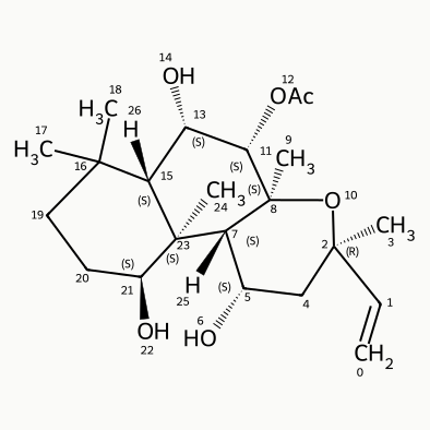 C=C[C@@]1(C)C[C@H](O)[C@H]2[C@](C)(O1)[C@@H](OC(C)=O)[C@@H](O)[C@H]1C(C)(C)CC[C@H](O)[C@@]12C